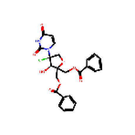 O=C(OCC1(COC(=O)c2ccccc2)OC[C@@](Cl)(n2ccc(=O)[nH]c2=O)[C@@H]1O)c1ccccc1